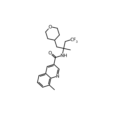 Cc1cccc2cc(C(=O)NC(C)(CC3CCOCC3)CC(F)(F)F)cnc12